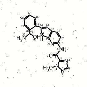 Cn1ncnc1C(=O)Nc1ccc2cc(-c3ccccc3C(N)O)[nH]c2n1